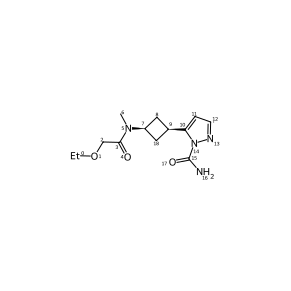 CCOCC(=O)N(C)[C@H]1C[C@@H](c2c[c]nn2C(N)=O)C1